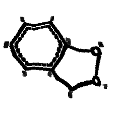 c1ccc2c(c1)COO2